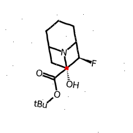 CC(C)(C)OC(=O)CN1C2CCCC1[C@@H](F)[C@H](O)C2